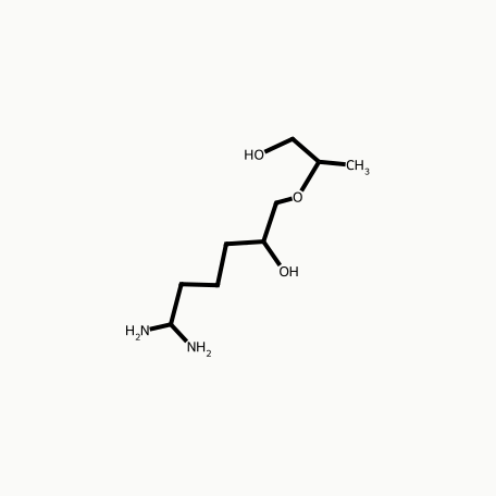 CC(CO)OCC(O)CCCC(N)N